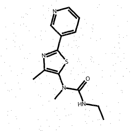 CCNC(=O)N(C)c1sc(-c2cccnc2)nc1C